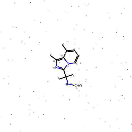 Cc1cccn2c(C(C)(C)NC=O)nc(C)c12